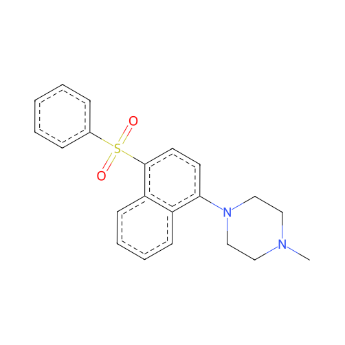 CN1CCN(c2ccc(S(=O)(=O)c3ccccc3)c3ccccc23)CC1